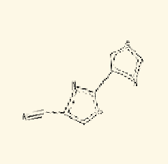 N#Cc1coc(-c2cscn2)n1